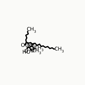 CCCCCCCCCCCC(CC1OC(=O)C1CCCCCC)C(C(C)C)C(N)(C=O)C(=O)O